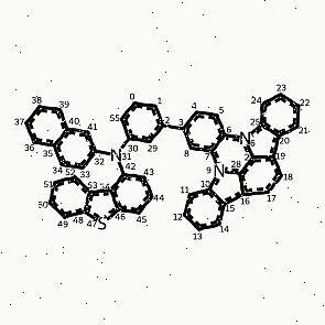 c1cc(-c2ccc3c(c2)n2c4ccccc4c4ccc5c6ccccc6n3c5c42)cc(N(c2ccc3ccccc3c2)c2cccc3sc4ccccc4c23)c1